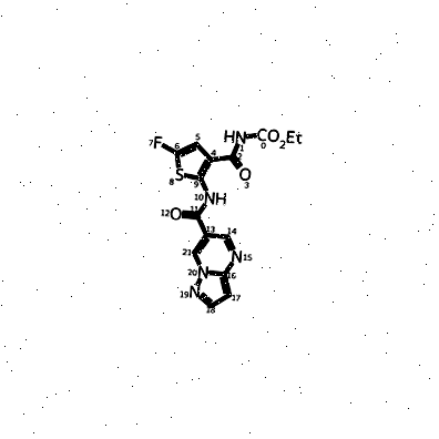 CCOC(=O)NC(=O)c1cc(F)sc1NC(=O)c1cnc2ccnn2c1